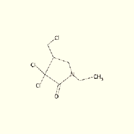 CCN1CC(CCl)C(Cl)(Cl)C1=O